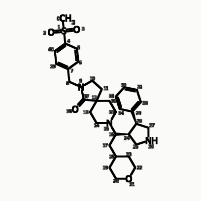 CS(=O)(=O)c1ccc(CN2CCC3(CCN(C(CC4CCOCC4)[C@@H]4CNC[C@@H]4c4ccccc4)CC3)C2=O)cc1